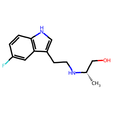 C[C@@H](CO)NCCc1c[nH]c2ccc(F)cc12